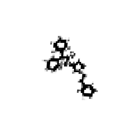 O=C(NC1CCN(CCc2ccccc2)C1)C(c1ccccc1)c1ccccc1